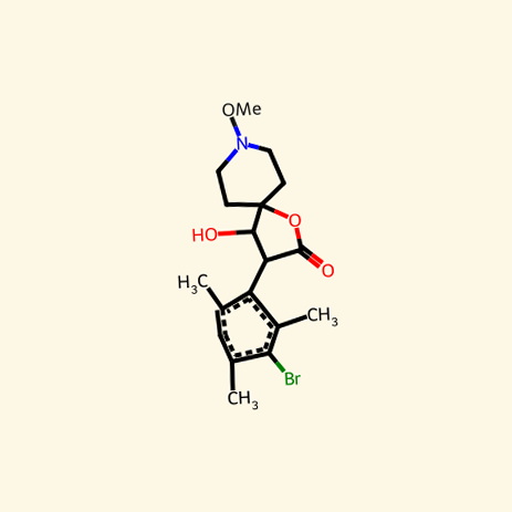 CON1CCC2(CC1)OC(=O)C(c1c(C)cc(C)c(Br)c1C)C2O